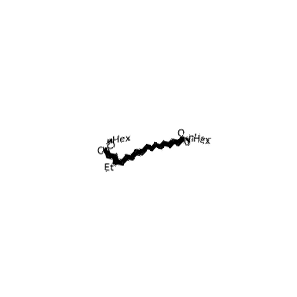 CCCCCCOC(=O)CCCCCCCCCCCCCC(CC)CCC(=O)OCCCCCC